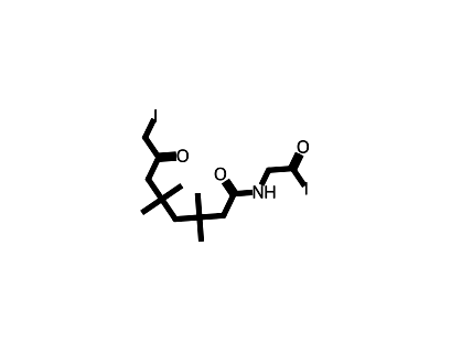 CC(C)(CC(=O)CI)CC(C)(C)CC(=O)NCC(=O)I